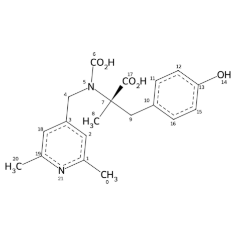 Cc1cc(CN(C(=O)O)[C@@](C)(Cc2ccc(O)cc2)C(=O)O)cc(C)n1